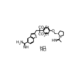 CCOC(=O)C(Cc1cc2cc(C(=N)N)ccc2s1)(C(=O)OCC)c1ccc(OC[C@H]2CCCN2C(C)=N)cc1.Cl.Cl